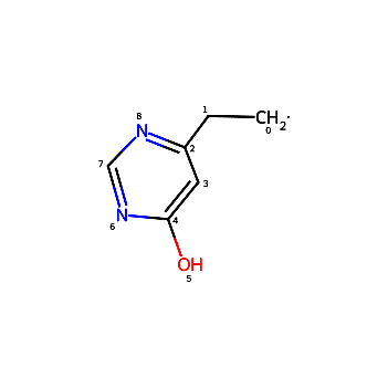 [CH2]Cc1cc(O)ncn1